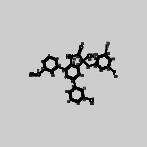 COc1cccc(-c2cc(-c3cccc(Cl)c3)cc3c2NC(=O)C3(C)Cc2cc(F)cc(F)c2)n1